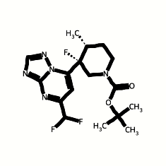 C[C@@H]1CCN(C(=O)OC(C)(C)C)C[C@@]1(F)c1cc(C(F)F)nc2ncnn12